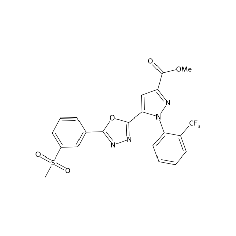 COC(=O)c1cc(-c2nnc(-c3cccc(S(C)(=O)=O)c3)o2)n(-c2ccccc2C(F)(F)F)n1